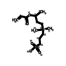 C=CC(=O)OC(C)CC[N+](C)(C)CCCS(=O)(=O)[O-]